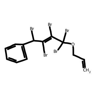 C=CCOC(Br)(Br)C(Br)=C(Br)C(Br)c1ccccc1